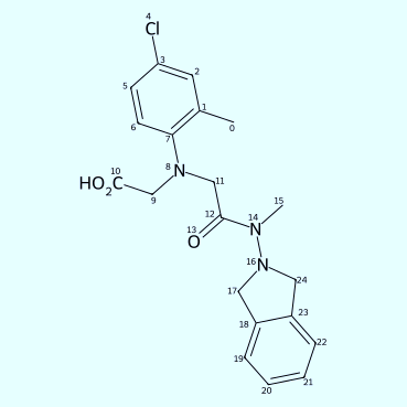 Cc1cc(Cl)ccc1N(CC(=O)O)CC(=O)N(C)N1Cc2ccccc2C1